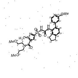 COCCN(CCOC)C(=O)c1cc(S(=O)(=O)NC(=O)Nc2c(-c3ccnc(OC)c3)ccc3c2CCC3)nn1C